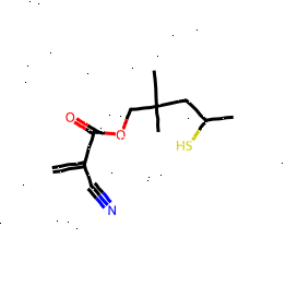 C=C(C#N)C(=O)OCC(C)(C)CC(C)S